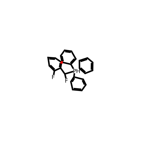 Fc1ccccc1C(F)[PH](c1ccccc1)(c1ccccc1)c1ccccc1